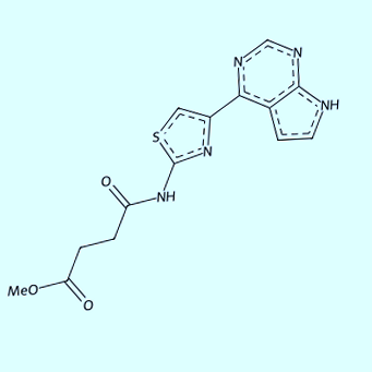 COC(=O)CCC(=O)Nc1nc(-c2ncnc3[nH]ccc23)cs1